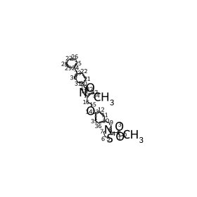 COC(=O)C1SCCN1Cc1ccc(OCCc2nc(-c3ccc(-c4ccccc4)cc3)oc2C)cc1